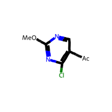 COc1ncc(C(C)=O)c(Cl)n1